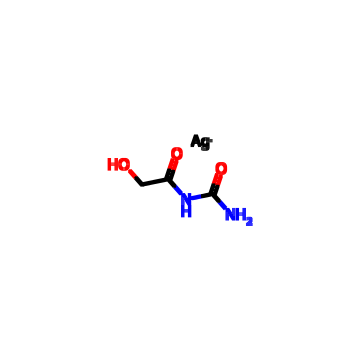 NC(=O)NC(=O)CO.[Ag]